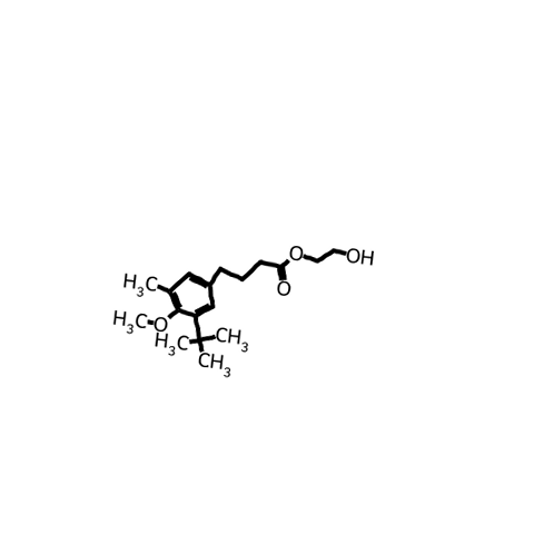 COc1c(C)cc(CCCC(=O)OCCO)cc1C(C)(C)C